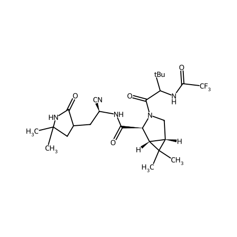 CC1(C)CC(C[C@@H](C#N)NC(=O)[C@@H]2[C@@H]3[C@H](CN2C(=O)C(NC(=O)C(F)(F)F)C(C)(C)C)C3(C)C)C(=O)N1